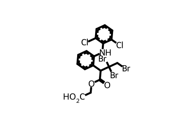 O=C(O)COC(=O)C(c1ccccc1Nc1c(Cl)cccc1Cl)C(Br)(Br)CBr